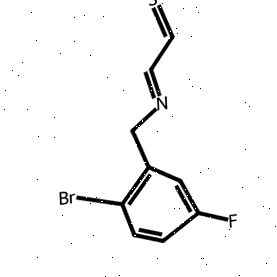 Fc1ccc(Br)c(CN=CC=S)c1